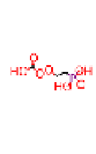 O=C(O)OOCCP(=O)(O)O